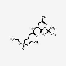 CCOP(=O)(CCCC(=O)N[C@@H](CC(=O)O)C(=O)OC(C)(C)C)OCC